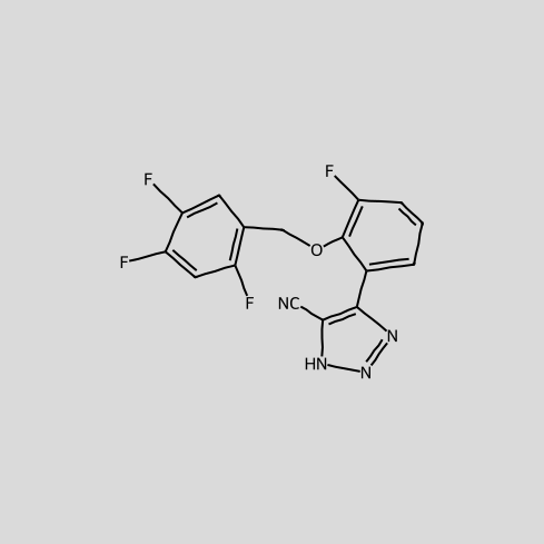 N#Cc1[nH]nnc1-c1cccc(F)c1OCc1cc(F)c(F)cc1F